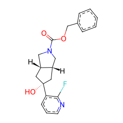 O=C(OCc1ccccc1)N1C[C@@H]2C[C@@](O)(c3cccnc3F)C[C@@H]2C1